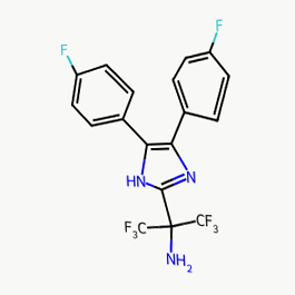 NC(c1nc(-c2ccc(F)cc2)c(-c2ccc(F)cc2)[nH]1)(C(F)(F)F)C(F)(F)F